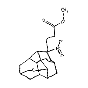 COC(=O)CCC1([N+](=O)[O-])C2CC3C4CC5CC3C1C(C5)C4C2